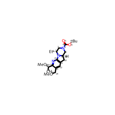 CC[C@@H]1CN(C(=O)OC(C)(C)C)C[C@H]2Cc3cc(COC)c([C@@H](C)OC)nc3N12